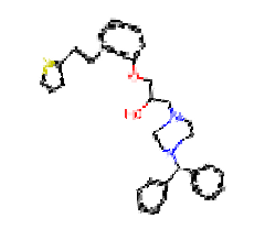 OC(COc1ccccc1C=Cc1cccs1)CN1CCN(C(c2ccccc2)c2ccccc2)CC1